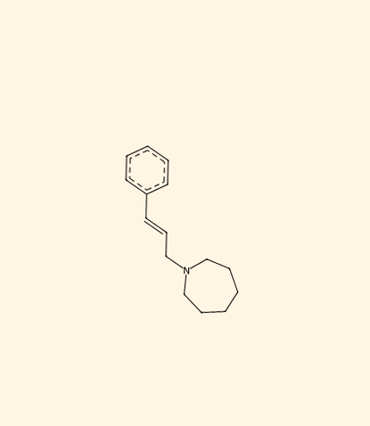 C(=C\c1ccccc1)/CN1CCCCCC1